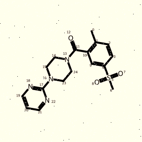 Cc1ccc(S(C)(=O)=O)cc1C(=O)N1CCN(c2ncccn2)CC1